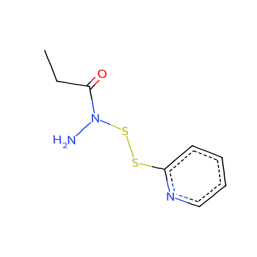 CCC(=O)N(N)SSc1ccccn1